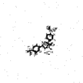 CN(CC(N)c1ccc(C(F)(F)F)c(F)c1)S(=O)(=O)c1ccc([N+](=O)[O-])cc1.Cl